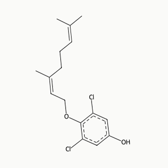 CC(C)=CCCC(C)=CCOc1c(Cl)cc(O)cc1Cl